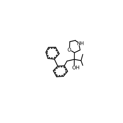 CC(C)C(O)(Cc1ccccc1-c1ccccc1)C1CNCCO1